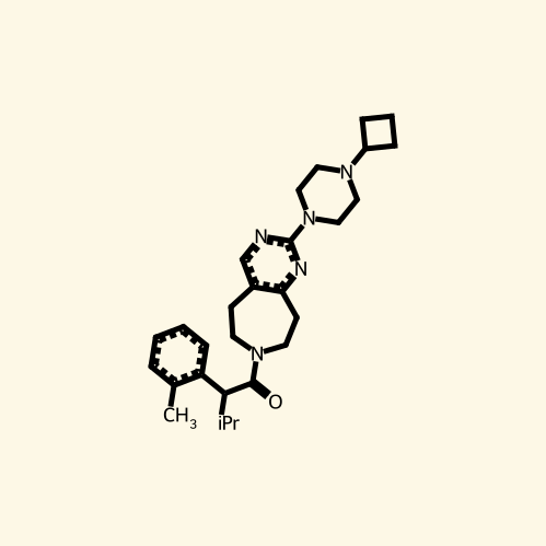 Cc1ccccc1C(C(=O)N1CCc2cnc(N3CCN(C4CCC4)CC3)nc2CC1)C(C)C